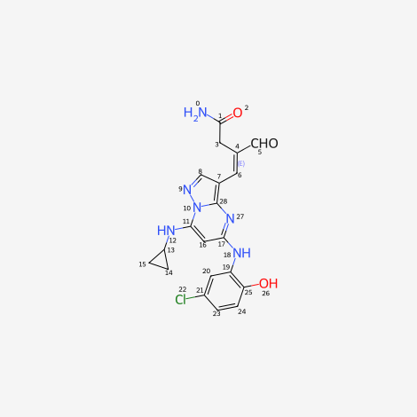 NC(=O)C/C(C=O)=C\c1cnn2c(NC3CC3)cc(Nc3cc(Cl)ccc3O)nc12